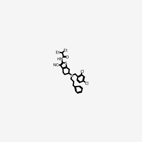 CCC(CC)C(=O)Nc1sc2c(c1C#N)CCC(N(CCCc1ccccc1)Cc1ccc(Cl)cc1Cl)C2